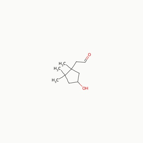 CC1(C)CC(O)CC1(C)CC=O